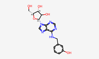 OC[C@H]1O[C@@H](n2cnc3c(NCc4cccc(O)c4)ncnc32)C(O)[C@H]1O